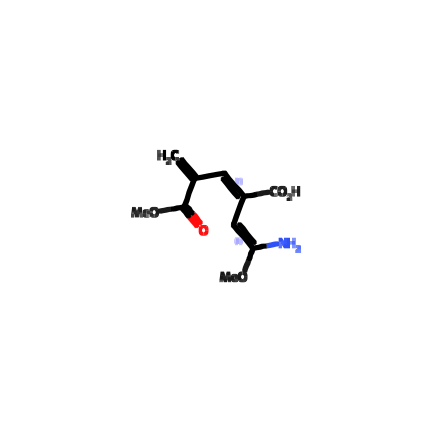 C=C(/C=C(\C=C(/N)OC)C(=O)O)C(=O)OC